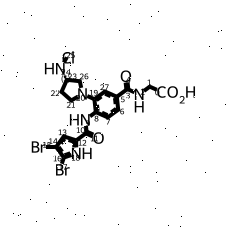 O=C(O)CNC(=O)c1ccc(NC(=O)c2cc(Br)c(Br)[nH]2)c(N2CC[C@H](NCl)C2)c1